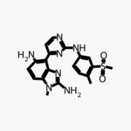 Cc1ccc(Nc2nccc(-c3c(N)ccc4c3nc(N)n4C)n2)cc1S(C)(=O)=O